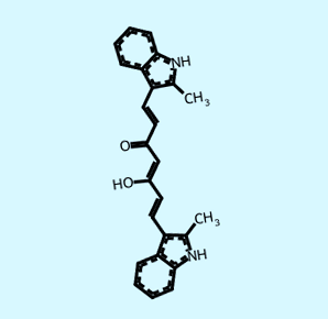 Cc1[nH]c2ccccc2c1/C=C/C(=O)/C=C(O)/C=C/c1c(C)[nH]c2ccccc12